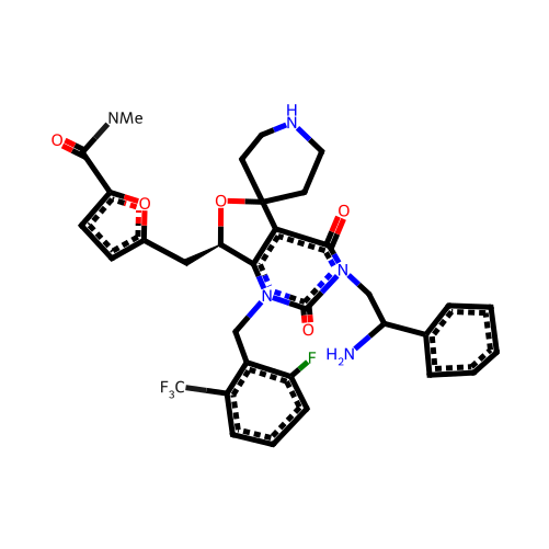 CNC(=O)c1ccc(C[C@H]2OC3(CCNCC3)c3c2n(Cc2c(F)cccc2C(F)(F)F)c(=O)n(CC(N)c2ccccc2)c3=O)o1